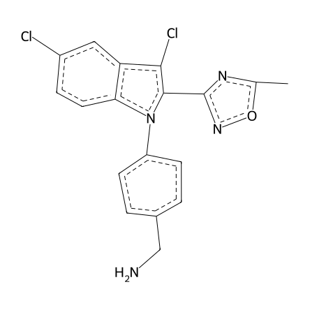 Cc1nc(-c2c(Cl)c3cc(Cl)ccc3n2-c2ccc(CN)cc2)no1